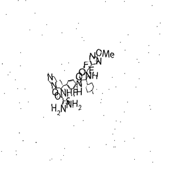 COc1ncc(C(F)(F)C(=O)N[C@H](C(=O)Nc2ccc([C@H](C)[C@@H](NC(=O)/C(=C/N)SN)C(=O)N3CCN(C)CC3)cc2F)[C@H]2CC[C@H](C)CC2)cn1